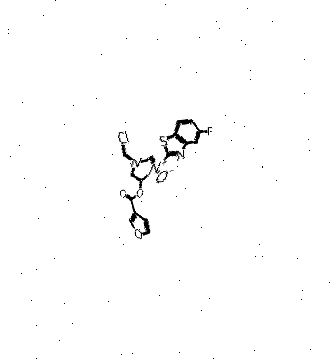 O=C(OC1CN(CCl)C[N+]1([O-])c1nc2cc(F)ccc2s1)c1ccoc1